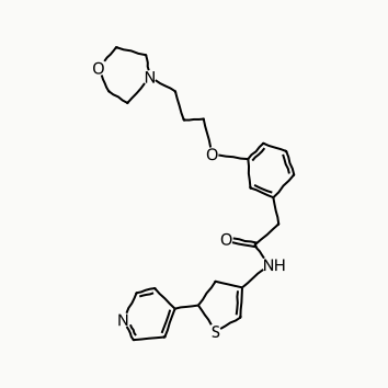 O=C(Cc1cccc(OCCCN2CCOCC2)c1)NC1=CSC(c2ccncc2)C1